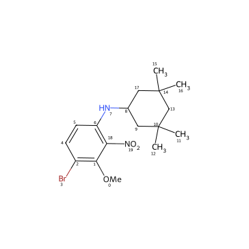 COc1c(Br)ccc(NC2CC(C)(C)CC(C)(C)C2)c1[N+](=O)[O-]